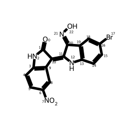 O=C1Nc2ccc([N+](=O)[O-])cc2C1=C1Nc2ccc(Br)cc2C1=NO